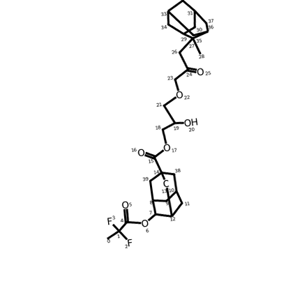 CC(F)(F)C(=O)OC1C2CC3CC1CC(C(=O)OCC(O)COCC(=O)CC1(C)C4CC5CC(C4)CC1C5)(C3)C2